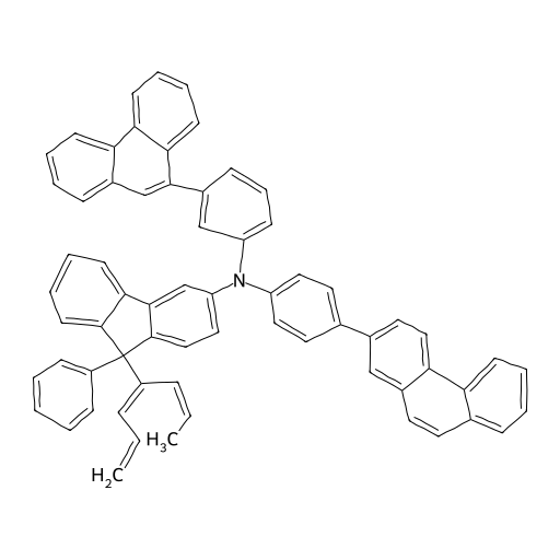 C=C/C=C(\C=C/C)C1(c2ccccc2)c2ccccc2-c2cc(N(c3ccc(-c4ccc5c(ccc6ccccc65)c4)cc3)c3cccc(-c4cc5ccccc5c5ccccc45)c3)ccc21